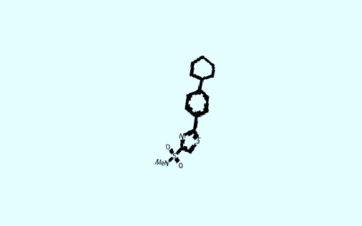 CNS(=O)(=O)c1csc(-c2ccc(C3CCCCC3)cc2)n1